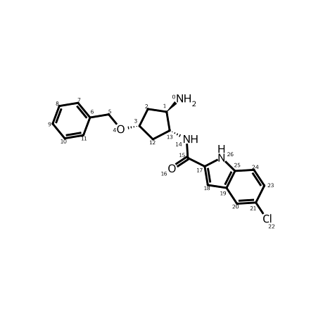 N[C@@H]1C[C@@H](OCc2ccccc2)C[C@H]1NC(=O)c1cc2cc(Cl)ccc2[nH]1